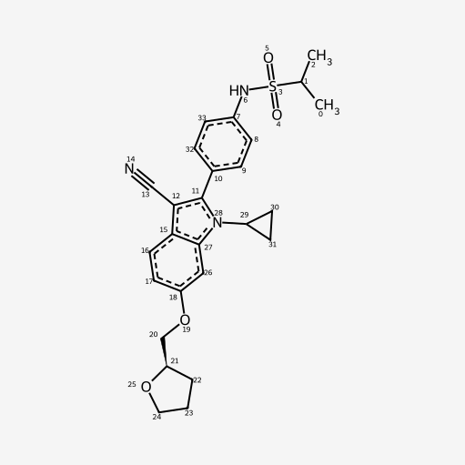 CC(C)S(=O)(=O)Nc1ccc(-c2c(C#N)c3ccc(OC[C@H]4CCCO4)cc3n2C2CC2)cc1